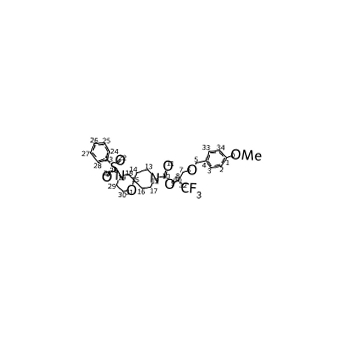 COc1ccc(COC[C@@H](OC(=O)N2CCC3(CC2)CN(S(=O)(=O)c2ccccc2)CCO3)C(F)(F)F)cc1